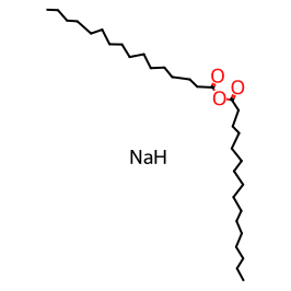 CCCCCCCCCCCCCCCC(=O)OC(=O)CCCCCCCCCCCCCCC.[NaH]